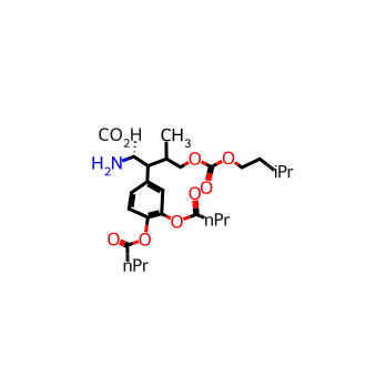 CCCC(=O)Oc1ccc(C(C(C)COC(=O)OCCC(C)C)[C@H](N)C(=O)O)cc1OC(=O)CCC